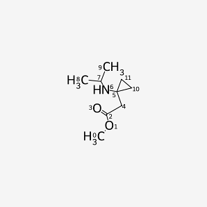 COC(=O)CC1(NC(C)C)CC1